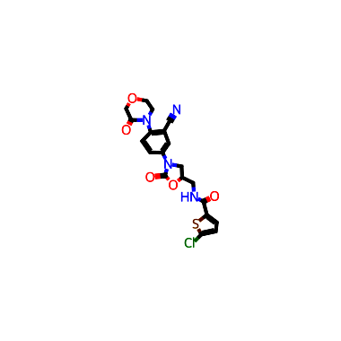 N#Cc1cc(N2CC(CNC(=O)c3ccc(Cl)s3)OC2=O)ccc1N1CCOCC1=O